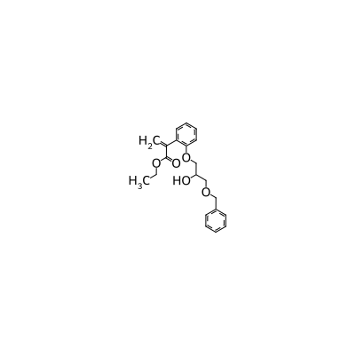 C=C(C(=O)OCC)c1ccccc1OCC(O)COCc1ccccc1